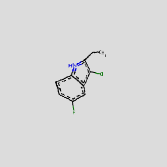 CCc1[nH]c2ccc(F)cc2c1Cl